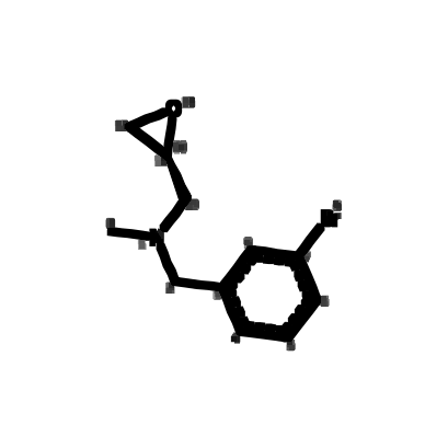 CN(Cc1cccc(Br)c1)C[C@H]1CO1